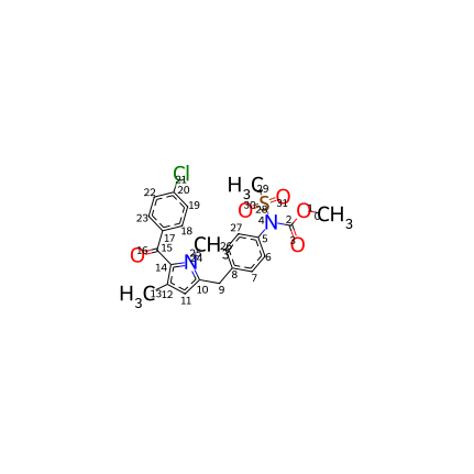 COC(=O)N(c1ccc(Cc2cc(C)c(C(=O)c3ccc(Cl)cc3)n2C)cc1)S(C)(=O)=O